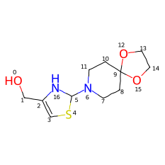 OCC1=CSC(N2CCC3(CC2)OCCO3)N1